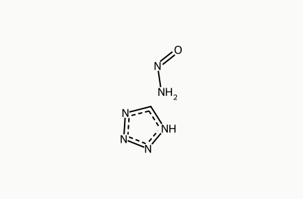 NN=O.c1nnn[nH]1